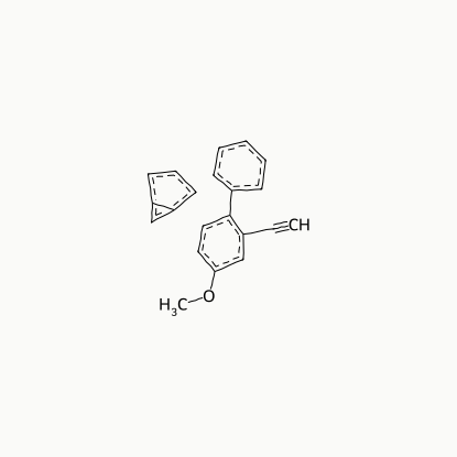 C#Cc1cc(OC)ccc1-c1ccccc1.c1cc2cc-2c1